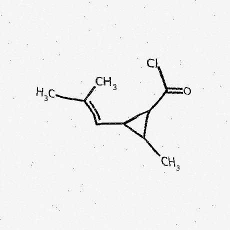 CC(C)=CC1C(C)C1C(=O)Cl